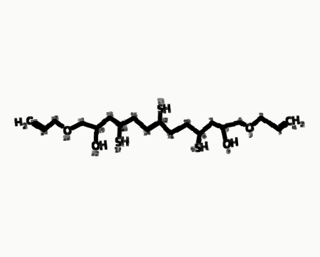 C=CCOCC(O)CC(S)CCC(S)CCC(S)CC(O)COCC=C